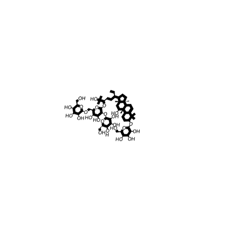 CC[C@H](CC[C@@H](O[C@@H]1O[C@H](CO[C@H]2O[C@H](CO)[C@@H](O)[C@H](O)[C@H]2O)[C@@H](O)[C@H](O)[C@H]1O[C@H]1O[C@@H](CO)[C@H](O)[C@@H](O)[C@@H]1O)C(C)(C)O)C1CC[C@@]2(C)C3CC=C4C(CC[C@H](O[C@@H]5O[C@H](CO)[C@@H](O)[C@H](O)[C@H]5O)C4(C)C)[C@]3(C)[C@H](O)C[C@]12C